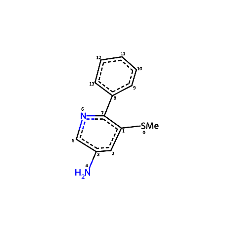 CSc1cc(N)cnc1-c1ccccc1